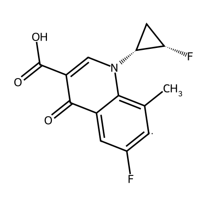 Cc1[c]c(F)cc2c(=O)c(C(=O)O)cn([C@@H]3C[C@@H]3F)c12